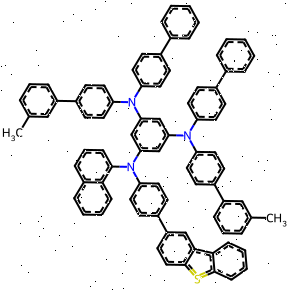 Cc1cccc(-c2ccc(N(c3ccc(-c4ccccc4)cc3)c3cc(N(c4ccc(-c5ccccc5)cc4)c4ccc(-c5cccc(C)c5)cc4)cc(N(c4ccc(-c5ccc6sc7ccccc7c6c5)cc4)c4cccc5ccccc45)c3)cc2)c1